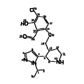 CC(C)n1nccc1C1CNCCC1COc1ccc(Cl)c(O)c1C=O